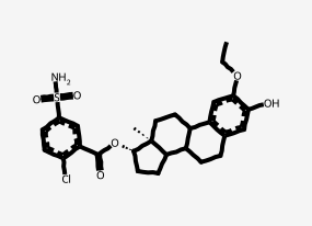 CCOc1cc2c(cc1O)CCC1C2CC[C@@]2(C)C1CC[C@@H]2OC(=O)c1cc(S(N)(=O)=O)ccc1Cl